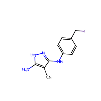 N#Cc1c(Nc2ccc(CI)cc2)n[nH]c1N